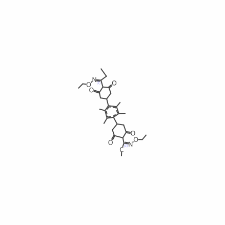 CCO/N=C(/CC)C1C(=O)CC(c2c(C)c(C)c(C3CC(=O)C(/C(CC)=N\OCC)C(=O)C3)c(C)c2C)CC1=O